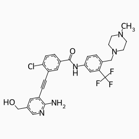 CN1CCN(Cc2ccc(NC(=O)c3ccc(Cl)c(C#Cc4cc(CO)cnc4N)c3)cc2C(F)(F)F)CC1